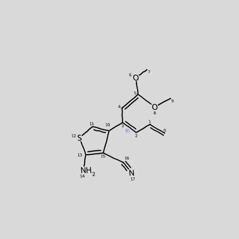 C=C/C=C(\C=C(OC)OC)c1csc(N)c1C#N